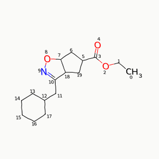 CCOC(=O)C1CC2ON=C(CC3CCCCC3)C2C1